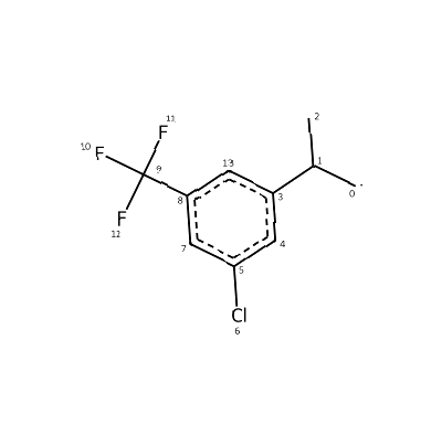 [CH2]C(C)c1cc(Cl)cc(C(F)(F)F)c1